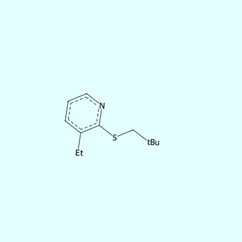 CCc1cccnc1SCC(C)(C)C